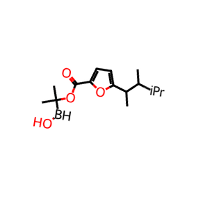 CC(C)C(C)C(C)c1ccc(C(=O)OC(C)(C)BO)o1